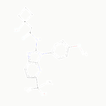 CC(C)(O)c1ccc2nc(NC(=O)CC3(O)CCC3)n(-c3ccc(OC(F)(F)F)cc3)c2n1